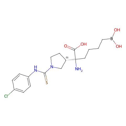 NC(CCCCB(O)O)(C(=O)O)[C@H]1CCN(C(=S)Nc2ccc(Cl)cc2)C1